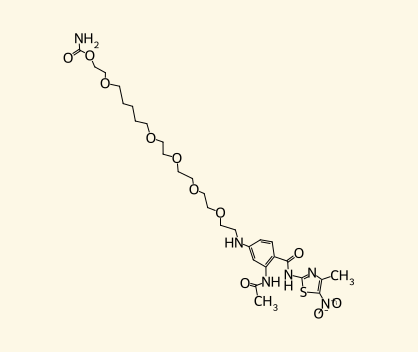 CC(=O)Nc1cc(NCCOCCOCCOCCOCCCCCOCCOC(N)=O)ccc1C(=O)Nc1nc(C)c([N+](=O)[O-])s1